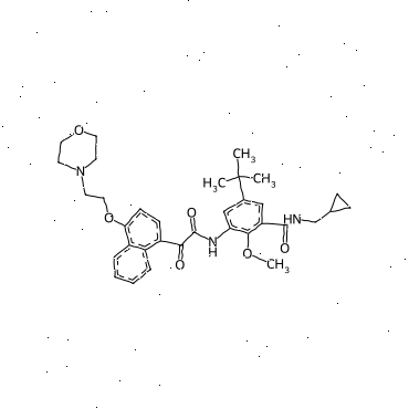 COc1c(NC(=O)C(=O)c2ccc(OCCN3CCOCC3)c3ccccc23)cc(C(C)(C)C)cc1C(=O)NCC1CC1